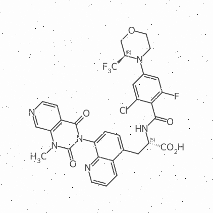 Cn1c(=O)n(-c2ccc(C[C@H](NC(=O)c3c(F)cc(N4CCOC[C@@H]4C(F)(F)F)cc3Cl)C(=O)O)c3cccnc23)c(=O)c2ccncc21